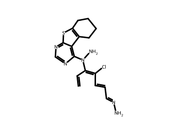 C=C/C(=C(Cl)\C=C\C=NN)N(N)c1ncnc2sc3c(c12)CCCC3